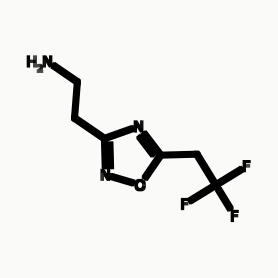 NCCc1noc(CC(F)(F)F)n1